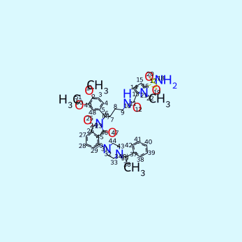 COc1ccc([C@@H](CCCNC(=O)c2ccc(S(N)(=O)=O)n2C)N2C(=O)c3cccc(N4CCN([C@H](C)c5ccccc5)CC4)c3C2=O)cc1OC